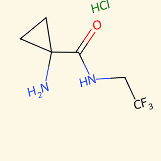 Cl.NC1(C(=O)NCC(F)(F)F)CC1